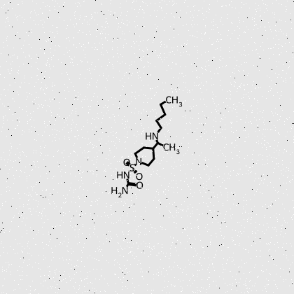 CCCCCNC(C)C1CCN(S(=O)(=O)NC(N)=O)CC1